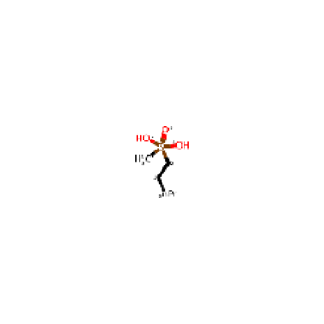 CCCCCS(C)(=O)(O)O